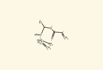 C=C.C=CC(=O)OC(CC)CCCCC.NC=O